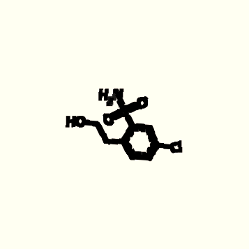 NS(=O)(=O)c1cc(Cl)ccc1CCO